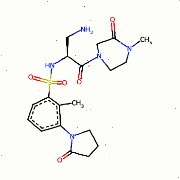 Cc1c(N2CCCC2=O)cccc1S(=O)(=O)N[C@@H](CN)C(=O)N1CCN(C)C(=O)C1